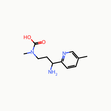 Cc1ccc(C(N)CCN(C)C(=O)O)nc1